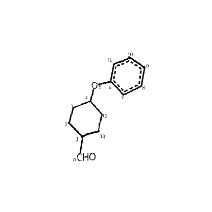 O=CC1CCC(Oc2ccccc2)CC1